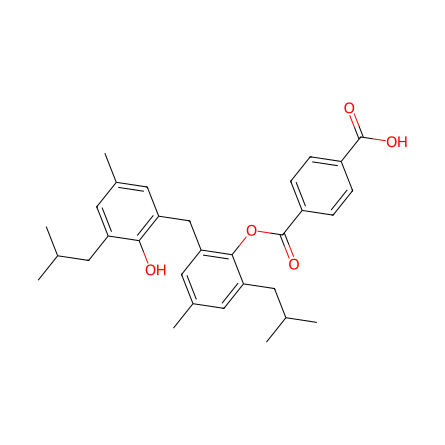 Cc1cc(Cc2cc(C)cc(CC(C)C)c2OC(=O)c2ccc(C(=O)O)cc2)c(O)c(CC(C)C)c1